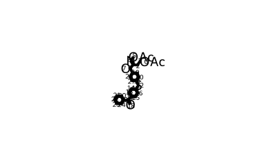 CC(=O)OCC/C(=N\OC(C)=O)C(=O)c1ccc(Sc2ccc(C(=O)c3ccccc3)cc2)cc1